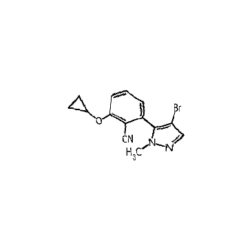 Cn1ncc(Br)c1-c1cccc(OC2CC2)c1C#N